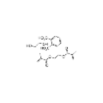 C=C(C)C(=O)OCCOC(=O)C(=C)C.O=C(O)c1ccccc1C(=O)O.OCCO